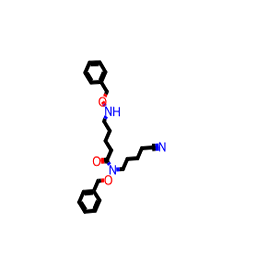 N#CCCCCN(OCc1ccccc1)C(=O)CCCCNOCc1ccccc1